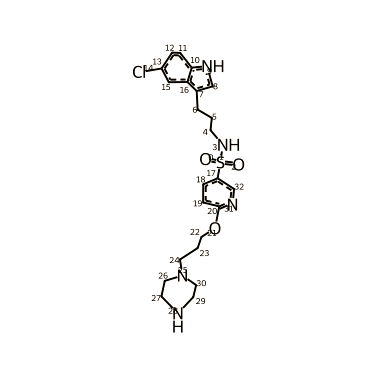 O=S(=O)(NCCCc1c[nH]c2ccc(Cl)cc12)c1ccc(OCCCN2CCNCC2)nc1